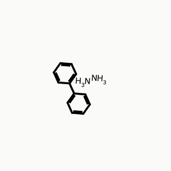 N.N.c1ccc(-c2ccccc2)cc1